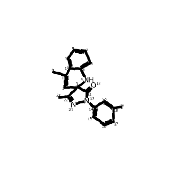 CC1=CC2(Nc3ccccc31)C(=O)N(c1cccc(C)c1)N=C2C